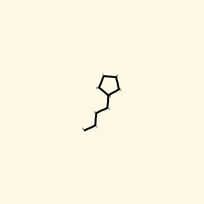 CCCCC1[C]CCC1